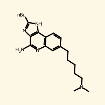 CCCCc1nc2c(N)nc3cc(CCCCCN(C)C)ccc3c2[nH]1